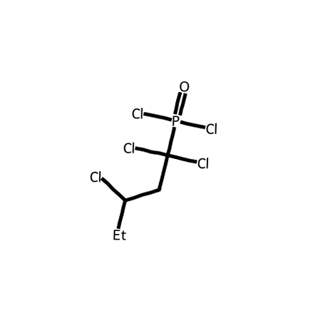 CCC(Cl)CC(Cl)(Cl)P(=O)(Cl)Cl